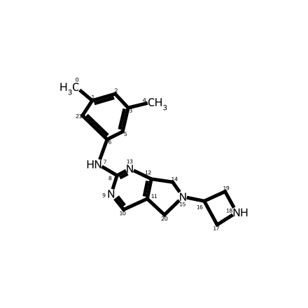 Cc1cc(C)cc(Nc2ncc3c(n2)CN(C2CNC2)C3)c1